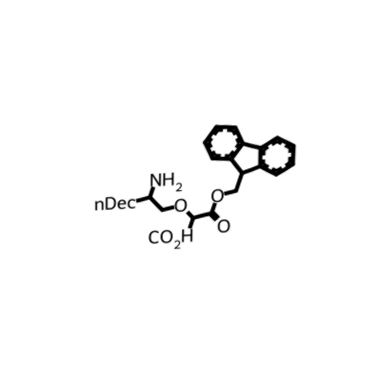 CCCCCCCCCCC(N)COC(C(=O)O)C(=O)OCC1c2ccccc2-c2ccccc21